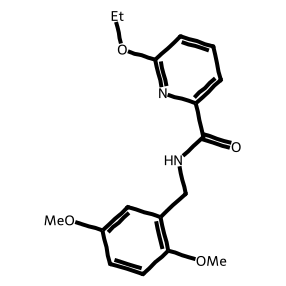 CCOc1cccc(C(=O)NCc2cc(OC)ccc2OC)n1